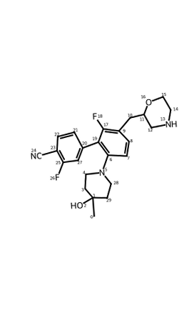 CC1(O)CCN(c2ccc(CC3CNCCO3)c(F)c2-c2ccc(C#N)c(F)c2)CC1